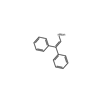 CCCCCCCCCC=C(c1ccccc1)c1ccccc1